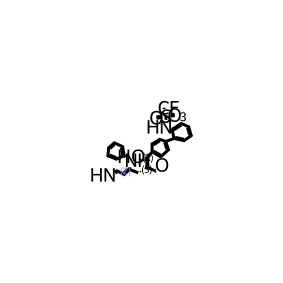 N=C/C=C(/C[C@H]1COc2cc(-c3ccccc3NS(=O)(=O)C(F)(F)F)ccc2[C@@H]1O)Nc1ccccc1